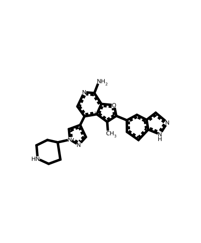 Cc1c(-c2ccc3[nH]ncc3c2)oc2c(N)ncc(-c3cnn(C4CCNCC4)c3)c12